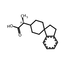 C[C@H](C(=O)O)C1CCC2(CCc3ccccc32)CC1